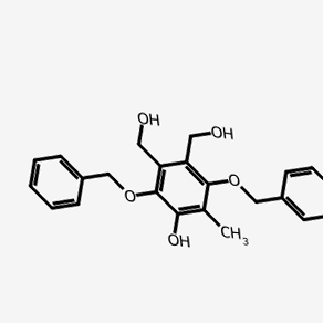 Cc1c(O)c(OCc2ccccc2)c(CO)c(CO)c1OCc1ccccc1